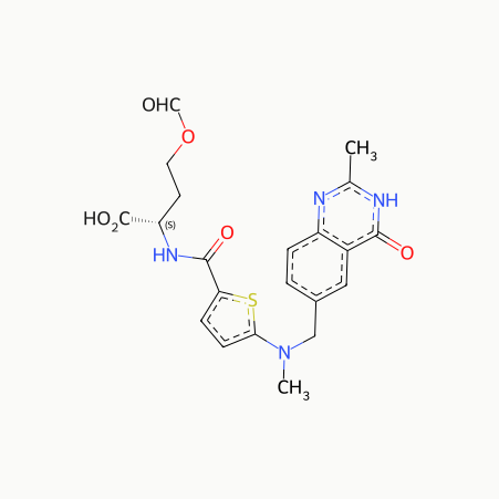 Cc1nc2ccc(CN(C)c3ccc(C(=O)N[C@@H](CCOC=O)C(=O)O)s3)cc2c(=O)[nH]1